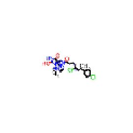 C=C(/C=C(Cl)\C=C/CC(=O)NCC1(c2nccn2C)NC(O)NC1=O)c1ccc(Cl)cc1